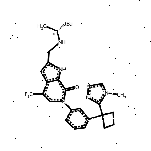 C[C@@H](NCc1cc2c(C(F)(F)F)cn(-c3cccc(C4(c5nncn5C)CCC4)c3)c(=O)c2[nH]1)C(C)(C)C